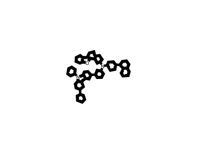 c1ccc(-c2ccc3c(c2)c2cc(-c4cccc(N(c5ccc(-c6cccc7ccccc67)cc5)c5ccc6ccc7c8ccccc8oc7c6c5)c4)ccc2n3-c2ccccc2)cc1